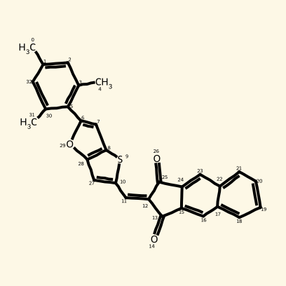 Cc1cc(C)c(-c2cc3sc(C=C4C(=O)c5cc6ccccc6cc5C4=O)cc3o2)c(C)c1